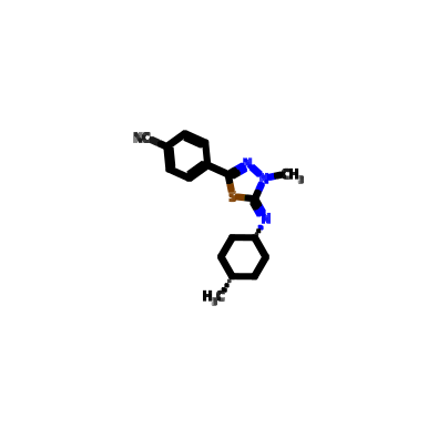 Cn1nc(-c2ccc(C#N)cc2)sc1=N[C@H]1CC[C@@H](C)CC1